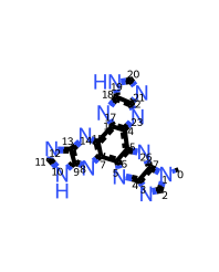 Cn1cnc2nc3c4nc5[nH]cnc5nc4c4nc5[nH]cnc5nc4c3nc21